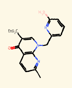 Bc1cccc(Cn2cc(C(=O)OCC)c(=O)c3ccc(C)nc32)n1